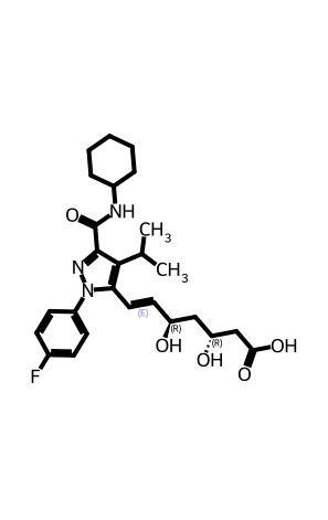 CC(C)c1c(C(=O)NC2CCCCC2)nn(-c2ccc(F)cc2)c1/C=C/[C@H](O)C[C@@H](O)CC(=O)O